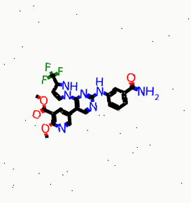 COC(=O)c1cc(-c2cnc(Nc3cccc(C(N)=O)c3)nc2N2C=CC(C(F)(F)F)N2)cnc1OC